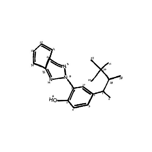 CC(c1ccc(O)c(-n2nc3ccccc3n2)c1)C(C)C(C)(C)C